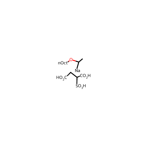 CCCCCCCCO[CH](C)[Na].O=C(O)CC(C(=O)O)S(=O)(=O)O